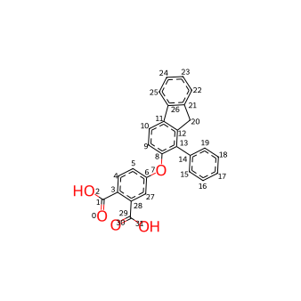 O=C(O)c1ccc(Oc2ccc3c(c2-c2ccccc2)Cc2ccccc2-3)cc1C(=O)O